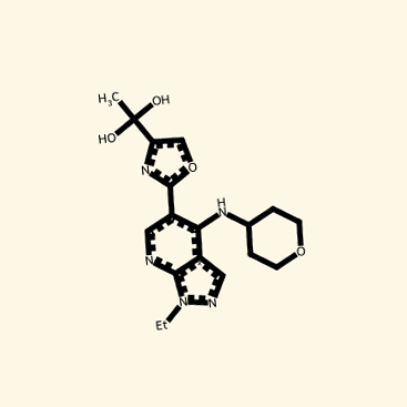 CCn1ncc2c(NC3CCOCC3)c(-c3nc(C(C)(O)O)co3)cnc21